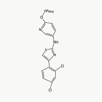 CCCCCOc1ccc(Nc2nc(-c3ccc(Cl)cc3Cl)cs2)cn1